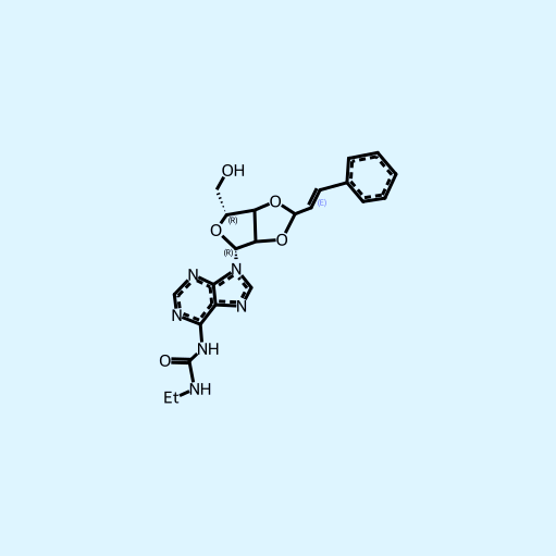 CCNC(=O)Nc1ncnc2c1ncn2[C@@H]1O[C@H](CO)C2OC(/C=C/c3ccccc3)OC21